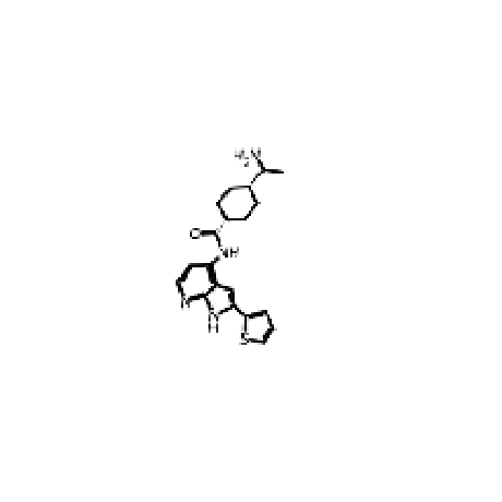 CC(N)[C@H]1CC[C@H](C(=O)Nc2ccnc3[nH]c(-c4cccs4)cc23)CC1